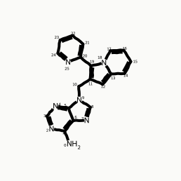 Nc1ncnc2c1ncn2Cc1cc2ccccn2c1-c1ccccn1